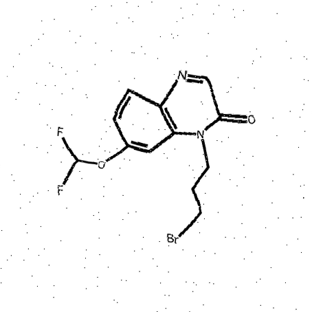 O=c1cnc2ccc(OC(F)F)cc2n1CCCBr